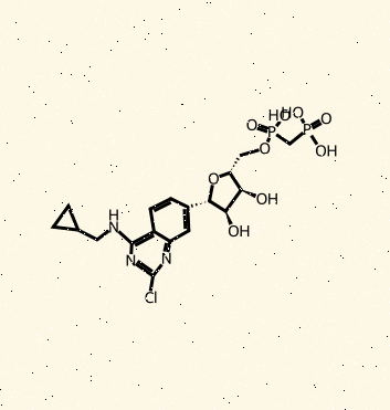 O=P(O)(O)CP(=O)(O)OC[C@H]1O[C@@H](c2ccc3c(NCC4CC4)nc(Cl)nc3c2)[C@H](O)[C@@H]1O